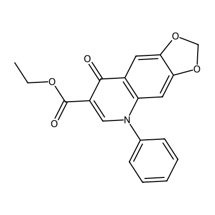 CCOC(=O)c1cn(-c2ccccc2)c2cc3c(cc2c1=O)OCO3